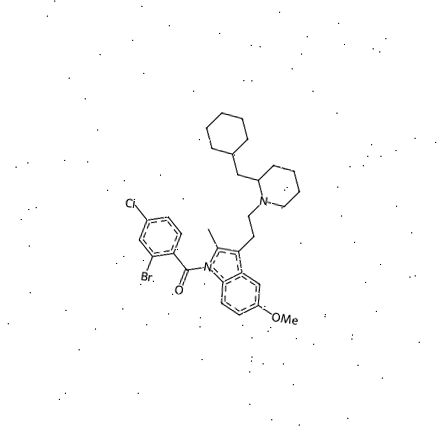 COc1ccc2c(c1)c(CCN1CCCCC1CC1CCCCC1)c(C)n2C(=O)c1ccc(Cl)cc1Br